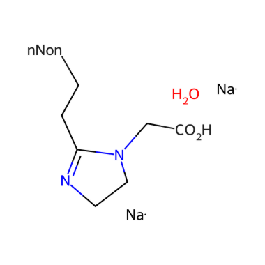 CCCCCCCCCCCC1=NCCN1CC(=O)O.O.[Na].[Na]